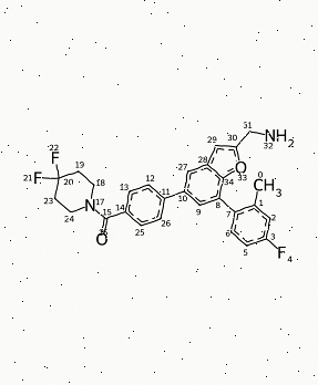 Cc1cc(F)ccc1-c1cc(-c2ccc(C(=O)N3CCC(F)(F)CC3)cc2)cc2cc(CN)oc12